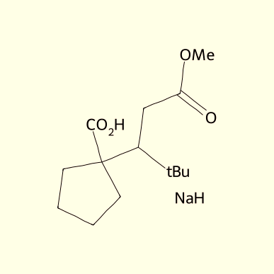 COC(=O)CC(C(C)(C)C)C1(C(=O)O)CCCC1.[NaH]